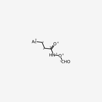 CC(=O)CCC(=O)NOC=O